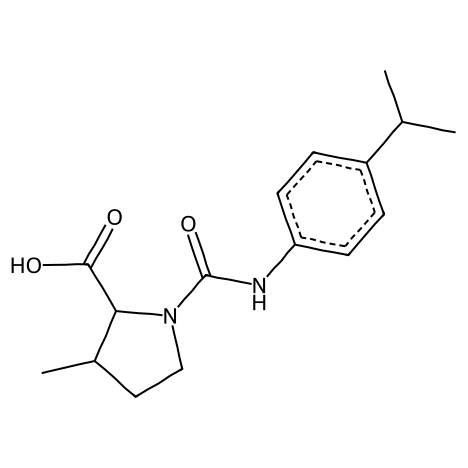 CC(C)c1ccc(NC(=O)N2CCC(C)C2C(=O)O)cc1